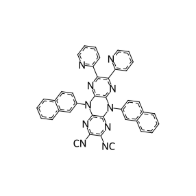 [C-]#[N+]c1nc2c(nc1[N+]#[C-])N(c1ccc3ccccc3c1)c1nc(-c3ccccn3)c(-c3ccccn3)nc1N2c1ccc2ccccc2c1